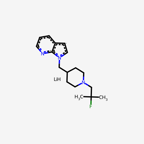 CC(C)(F)CN1CCC(Cn2c[c]c3cccnc32)CC1.[LiH]